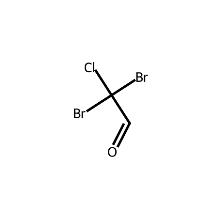 O=CC(Cl)(Br)Br